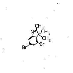 CC1=Nc2cc(Br)cc(Br)c2C1(C)C